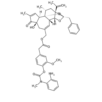 C=C(C)[C@]12C[C@@H](C)[C@@]34O[C@](Cc5ccccc5)(O[C@@H]1[C@@H]3C=C(COC(=O)Cc1ccc(OC(=O)N(C)c3ccccc3N)c(OC)c1)C[C@]1(O)C(=O)C(C)=C[C@@H]41)O2